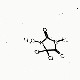 CCN1C(=O)N(C)C(Cl)(Cl)C1=O